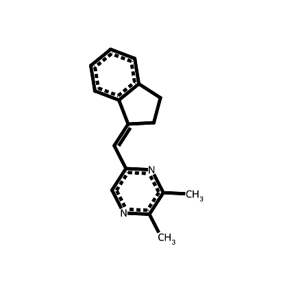 Cc1ncc(C=C2CCc3ccccc32)nc1C